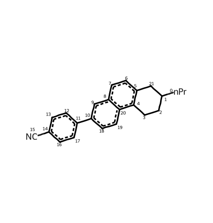 CCCC1CCc2c(ccc3cc(-c4ccc(C#N)cc4)ccc23)C1